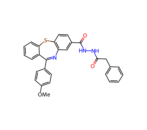 COc1ccc(C2=Nc3cc(C(=O)NNC(=O)Cc4ccccc4)ccc3Sc3ccccc32)cc1